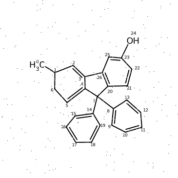 CC1C=C2C(=CC1)C(c1ccccc1)(c1ccccc1)c1ccc(O)cc12